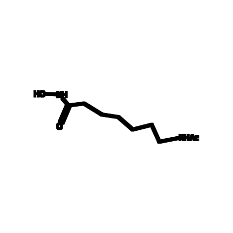 CC(=O)NCCCCCCC(=O)NO